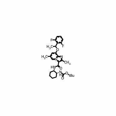 Cc1cc(OC(C)c2c(F)cccc2F)c2nc(C)c(C(=O)N[C@@H]3CCCC[C@H]3NC(=O)OC(C)(C)C)n2c1